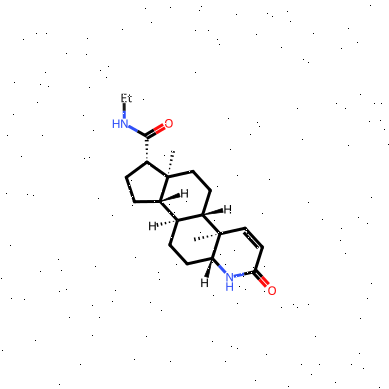 CCNC(=O)[C@H]1CC[C@H]2[C@@H]3CC[C@H]4NC(=O)C=C[C@]4(C)[C@H]3CC[C@]12C